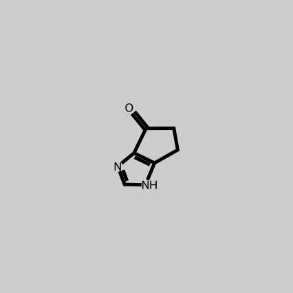 O=C1CCc2[nH]cnc21